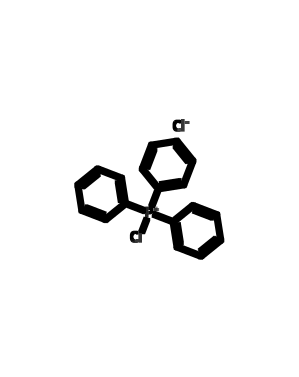 Cl[P+](c1ccccc1)(c1ccccc1)c1ccccc1.[Cl-]